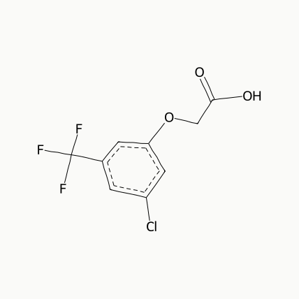 O=C(O)COc1cc(Cl)cc(C(F)(F)F)c1